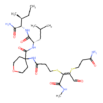 CC[C@H](C)[C@H](NC(=O)[C@H](CC(C)C)NC(=O)C1(NC(=O)CCS/C(C(=O)NC)=C(/C=O)SCCC(N)=O)CCOCC1)C(N)=O